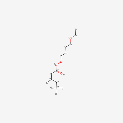 [CH2]COCCCCOOC(=O)CC(C)CC(C)(C)C